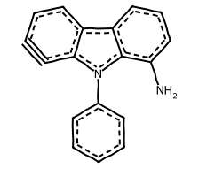 Nc1cccc2c3ccc#cc3n(-c3ccccc3)c12